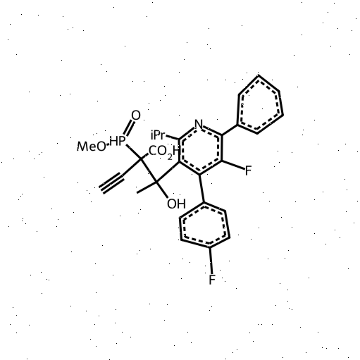 C#CC(C(=O)O)([PH](=O)OC)C(C)(O)c1c(C(C)C)nc(-c2ccccc2)c(F)c1-c1ccc(F)cc1